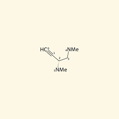 C#C[C@H](CNC)NC